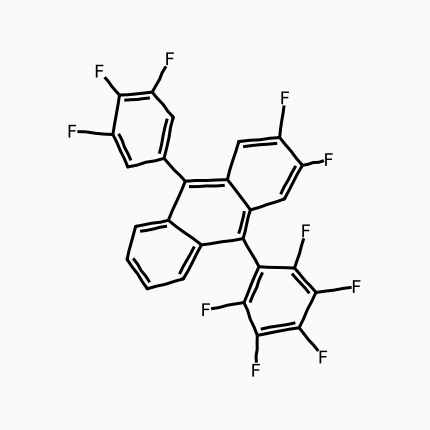 Fc1cc2c(-c3cc(F)c(F)c(F)c3)c3ccccc3c(-c3c(F)c(F)c(F)c(F)c3F)c2cc1F